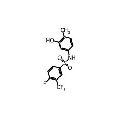 Cc1ccc(NS(=O)(=O)c2ccc(F)c(C(F)(F)F)c2)cc1O